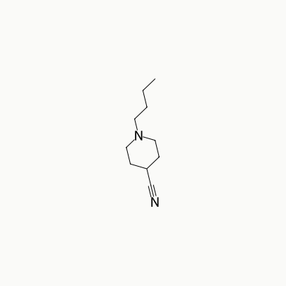 CCCCN1CCC(C#N)CC1